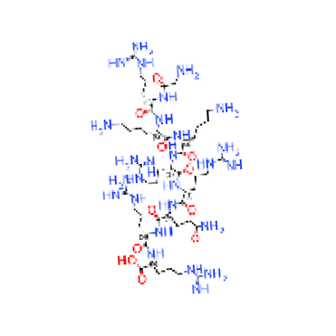 N=C(N)NCCC[C@H](NC(=O)[C@H](CCCNC(=N)N)NC(=O)[C@H](CCC(N)=O)NC(=O)[C@H](CCCNC(=N)N)NC(=O)[C@H](CCCNC(=N)N)NC(=O)[C@H](CCCCN)NC(=O)[C@H](CCCCN)NC(=O)[C@H](CCCNC(=N)N)NC(=O)CN)C(=O)O